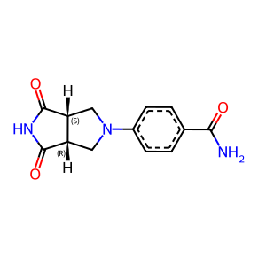 NC(=O)c1ccc(N2C[C@@H]3C(=O)NC(=O)[C@@H]3C2)cc1